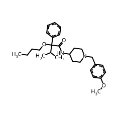 CCCCOC(C(=O)NC1CCN(Cc2ccc(OC)cc2)CC1)(c1ccccc1)C(C)C